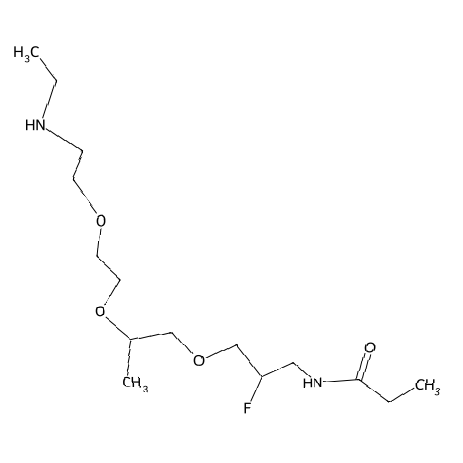 CCNCCOCCOC(C)COCC(F)CNC(=O)CC